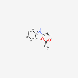 C=CC(=O)OC(C=C)NC1CCCCC1